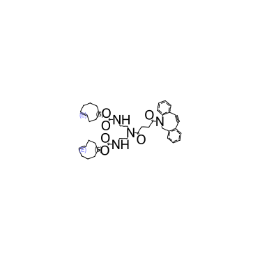 O=C(NCCN(CCNC(=O)O[C@@H]1CC/C=C/CCC1)C(=O)CCC(=O)N1Cc2ccccc2C#Cc2ccccc21)O[C@@H]1CC/C=C/CCC1